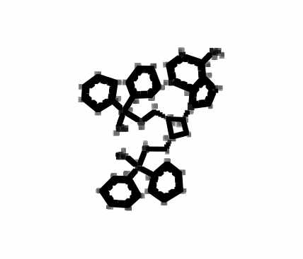 CC(C)(C)[Si](OC[C@H]1C[C@@H](n2cnc3c(N)ncnc32)[C@H]1CO[Si](c1ccccc1)(c1ccccc1)C(C)(C)C)(c1ccccc1)c1ccccc1